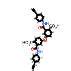 C#Cc1ccc(NC(=O)c2cc(Oc3ccc(C(=O)O)c(C(=O)Nc4ccc(C#C)cc4)c3)ccc2C(=O)O)cc1